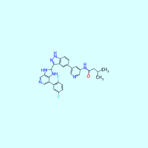 CC(C)CC(=O)Nc1cncc(-c2ccc3[nH]nc(C4Nc5cncc(-c6cc(F)ccc6F)c5N4)c3c2)c1